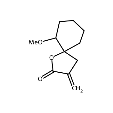 C=C1CC2(CCCCC2OC)OC1=O